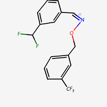 FC(F)c1cccc(/[C]=N\OCc2cccc(C(F)(F)F)c2)c1